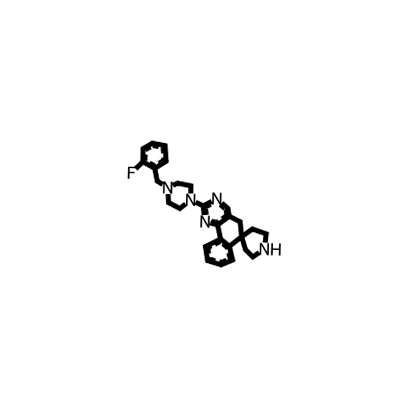 Fc1ccccc1CN1CCN(c2ncc3c(n2)-c2ccccc2C2(CCNCC2)C3)CC1